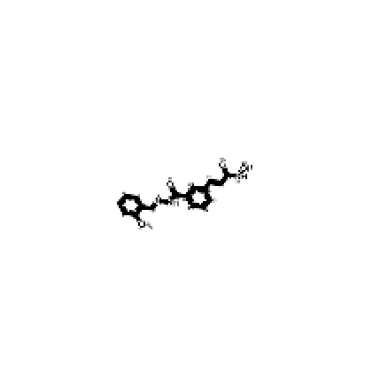 Cc1ccccc1/C=N/NC(=O)c1cccc(/C=C/C(=O)NO)c1